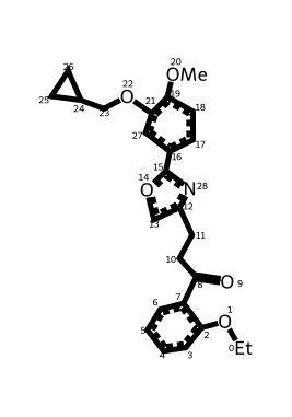 CCOc1ccccc1C(=O)CCc1coc(-c2ccc(OC)c(OCC3CC3)c2)n1